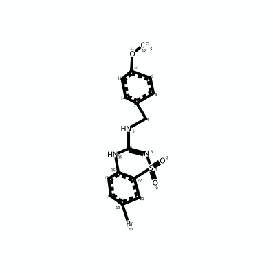 O=S1(=O)N=C(NCc2ccc(OC(F)(F)F)cc2)Nc2ccc(Br)cc21